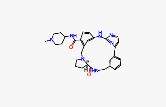 CN1CCC(NC(=O)c2ccc3cc2CN2CCC[C@H]2C(=O)NCc2cccc(c2)-c2ccnc(n2)N3)CC1